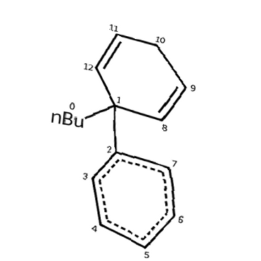 CCCCC1(c2ccccc2)C=CCC=C1